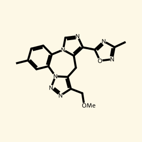 COCc1nnn2c1Cc1c(-c3nc(C)no3)ncn1-c1ccc(C)cc1-2